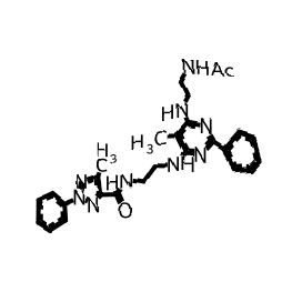 CC(=O)NCCNc1nc(-c2ccccc2)nc(NCCNC(=O)c2nn(-c3ccccc3)nc2C)c1C